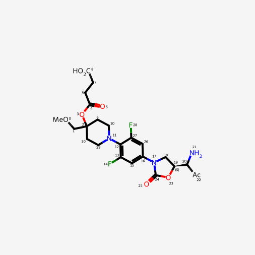 COCC1(OC(=O)CCC(=O)O)CCN(c2c(F)cc(N3C[C@@H](C(N)C(C)=O)OC3=O)cc2F)CC1